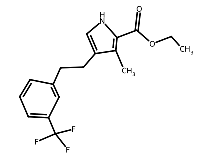 CCOC(=O)c1[nH]cc(CCc2cccc(C(F)(F)F)c2)c1C